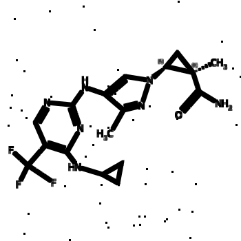 Cc1nn([C@H]2C[C@@]2(C)C(N)=O)cc1Nc1ncc(C(F)(F)F)c(NC2CC2)n1